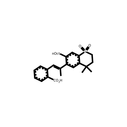 CCCCCCCCc1cc2c(cc1C(C)=Cc1ccccc1C(=O)O)C(C)(C)CCS2(=O)=O